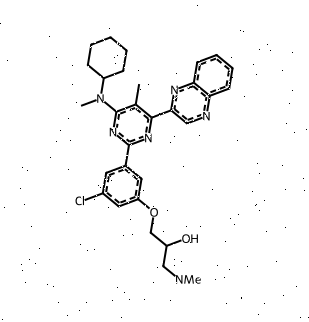 CNCC(O)COc1cc(Cl)cc(-c2nc(-c3cnc4ccccc4n3)c(C)c(N(C)C3CCCCC3)n2)c1